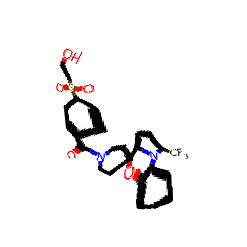 O=C(c1ccc(S(=O)(=O)CCO)cc1)N1CCC2(CC1)Oc1ccccc1-n1c(C(F)(F)F)ccc12